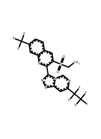 CCS(=O)(=O)c1cc2ccc(C(F)(F)F)cc2nc1-c1nnc2cc(C(F)(F)C(F)(F)F)ncn12